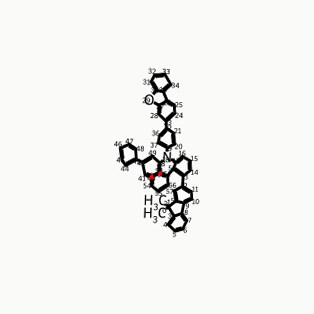 CC1(C)c2ccccc2-c2ccc(-c3cccc(N(c4ccc(-c5ccc6c(c5)oc5ccccc56)cc4)c4cccc(-c5ccccc5)c4)c3-c3ccccc3)cc21